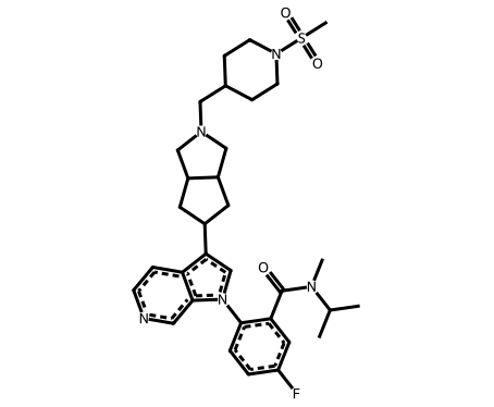 CC(C)N(C)C(=O)c1cc(F)ccc1-n1cc(C2CC3CN(CC4CCN(S(C)(=O)=O)CC4)CC3C2)c2ccncc21